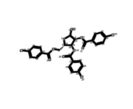 O=C(OC[C@@H]1SC(O)[C@@H](OC(=O)c2ccc(Cl)cc2)[C@H]1OC(=O)c1ccc(Cl)cc1)c1ccc(Cl)cc1